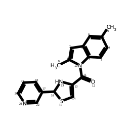 Cc1ccc2c(c1)cc(C)n2C(=O)C1=CSC(c2cccnc2)N1